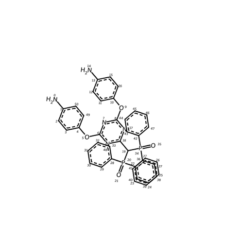 Nc1ccc(Oc2nc(Oc3ccc(N)cc3)nc(C(P(=O)(c3ccccc3)c3ccccc3)P(=O)(c3ccccc3)c3ccccc3)n2)cc1